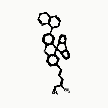 C=C/C(C)=C\C=C\c1ccc2c(c1)C1(c3cc(C4CC=CC5=C4N=CCC5)ccc3S2)c2ccccc2-c2ccccc21